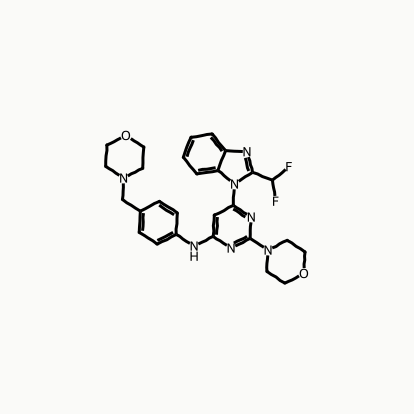 FC(F)c1nc2ccccc2n1-c1cc(Nc2ccc(CN3CCOCC3)cc2)nc(N2CCOCC2)n1